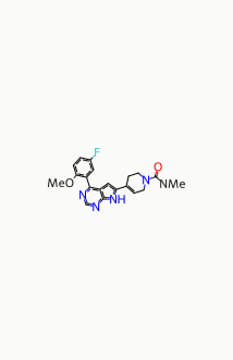 CNC(=O)N1CC=C(c2cc3c(-c4cc(F)ccc4OC)ncnc3[nH]2)CC1